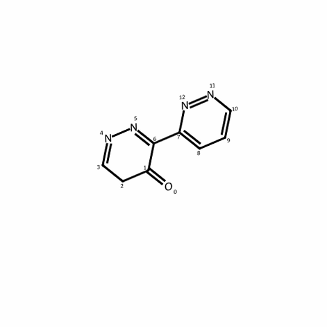 O=C1CC=NN=C1c1cccnn1